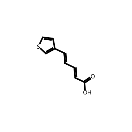 O=C(O)/C=C/C=C/c1ccsc1